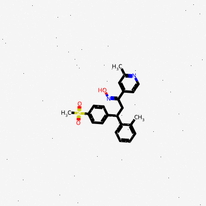 Cc1cc(C(CC(c2ccc(S(C)(=O)=O)cc2)c2ccccc2C)=NO)ccn1